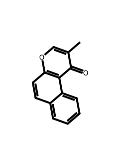 Cc1coc2ccc3ccccc3c2c1=O